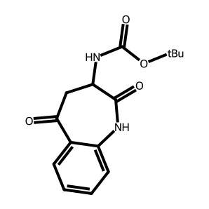 CC(C)(C)OC(=O)NC1CC(=O)c2ccccc2NC1=O